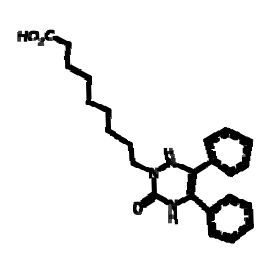 O=C(O)CCCCCCCCN1NC(c2ccccc2)=C(c2ccccc2)NC1=O